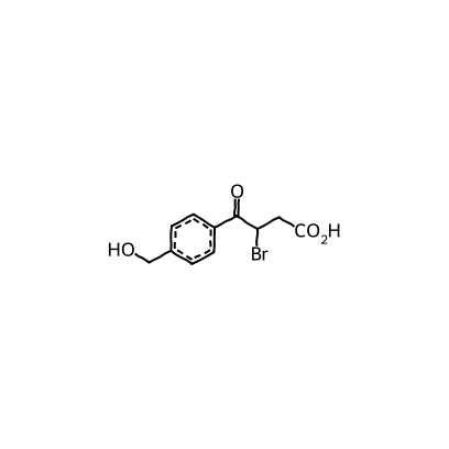 O=C(O)CC(Br)C(=O)c1ccc(CO)cc1